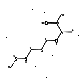 CSSCCCO[C@@H](C)C(C)=O